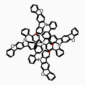 O=S12(c3ccc(-c4ccccc4-n4c5ccccc5c5cc6c(cc54)oc4ccccc46)cc3-c3cc(-c4ccccc4-n4c5ccccc5c5cc6c(cc54)oc4ccccc46)ccc31)c1ccc(-c3ccccc3-n3c4ccccc4c4cc5c(cc43)oc3ccccc35)cc1-c1cc(-c3ccccc3-n3c4ccccc4c4cc5c(cc43)oc3ccccc35)ccc12